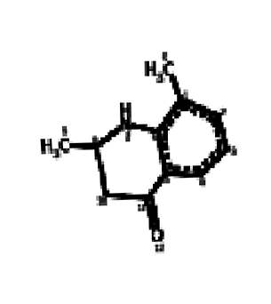 Cc1cccc2c1NC(C)CC2=O